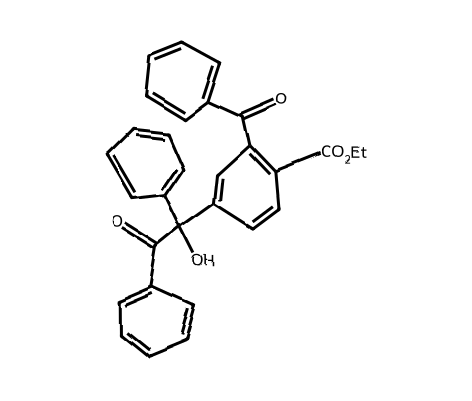 CCOC(=O)c1ccc(C(O)(C(=O)c2ccccc2)c2ccccc2)cc1C(=O)c1ccccc1